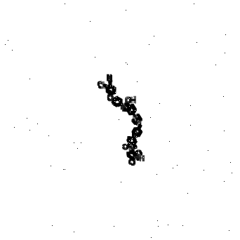 N#Cc1ccc(O[C@H]2CC[C@H](N3Cc4cc(N5CCN(CC6CCN(c7ccc8c(c7)CN(C7CCC(=O)NC7=O)C8=O)CC6)CC5)ccc4C3O)CC2)cc1Cl